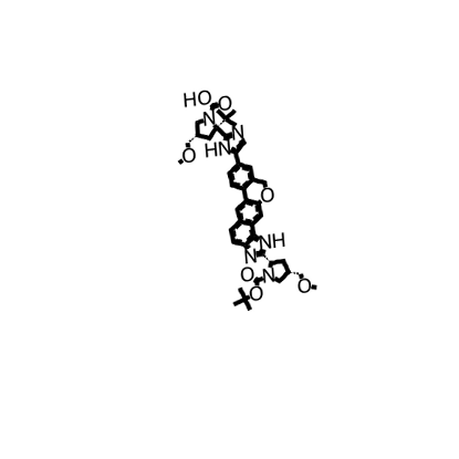 COC[C@@H]1CN(C(=O)O)[C@](c2ncc(-c3ccc4c(c3)COc3cc5c(ccc6nc([C@@H]7C[C@H](COC)CN7C(=O)OC(C)(C)C)[nH]c65)cc3-4)[nH]2)(C(C)(C)C)C1